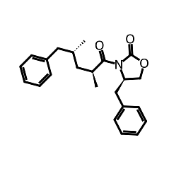 C[C@@H](Cc1ccccc1)C[C@H](C)C(=O)N1C(=O)OC[C@H]1Cc1ccccc1